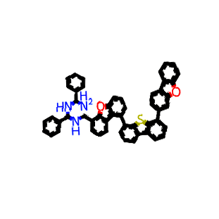 NC(NC(NCc1cccc2c1oc1cccc(-c3cccc4c3sc3c(-c5ccc6c(c5)oc5ccccc56)cccc34)c12)c1ccccc1)c1ccccc1